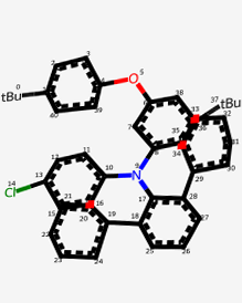 CC(C)(C)c1ccc(Oc2cc(N(c3ccc(Cl)cc3)c3c(-c4ccccc4)cccc3-c3ccccc3)cc(C(C)(C)C)c2)cc1